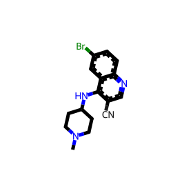 CN1CCC(Nc2c(C#N)cnc3ccc(Br)cc23)CC1